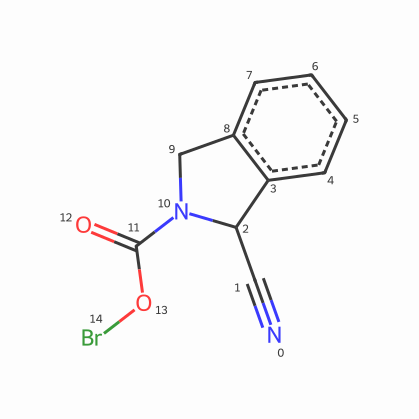 N#CC1c2ccccc2CN1C(=O)OBr